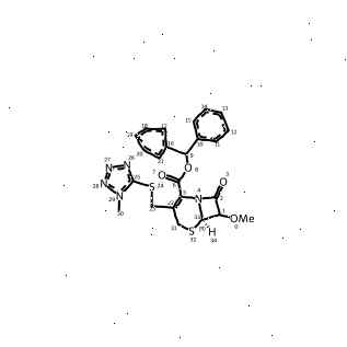 COC1C(=O)N2C(C(=O)OC(c3ccccc3)c3ccccc3)=C(CSc3nnnn3C)CS[C@H]12